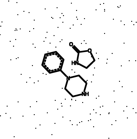 O=C1NCCO1.c1ccc(N2CCNCC2)cc1